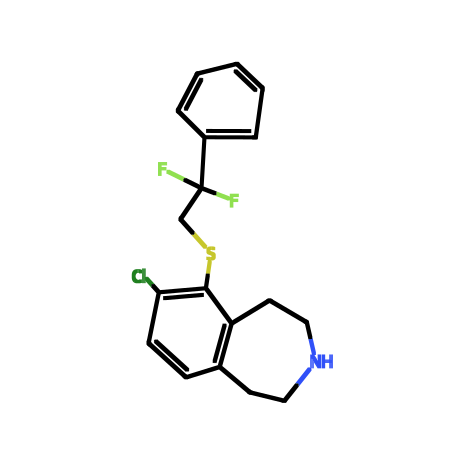 FC(F)(CSc1c(Cl)ccc2c1CCNCC2)c1ccccc1